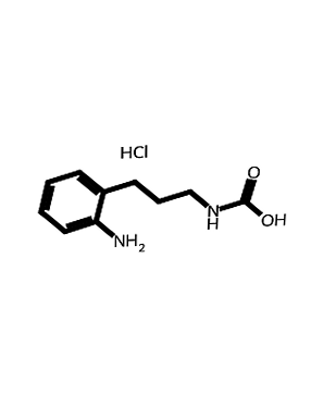 Cl.Nc1ccccc1CCCNC(=O)O